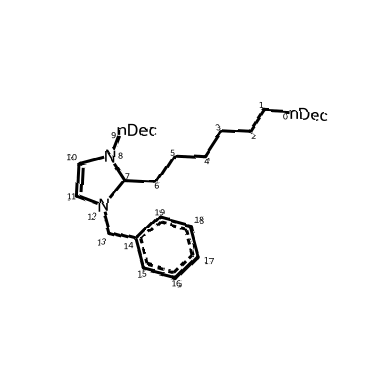 CCCCCCCCCCCCCCCCC1N(CCCCCCCCCC)C=CN1Cc1ccccc1